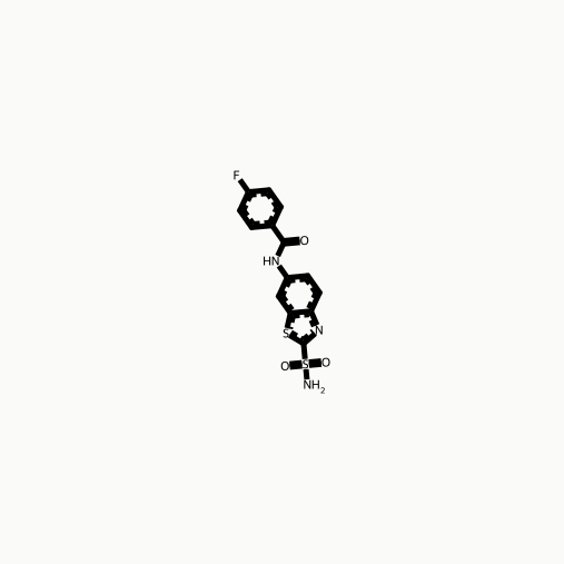 NS(=O)(=O)c1nc2ccc(NC(=O)c3ccc(F)cc3)cc2s1